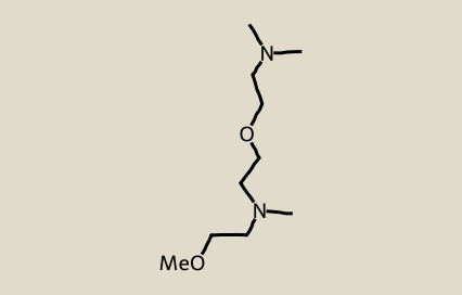 COCCN(C)CCOCCN(C)C